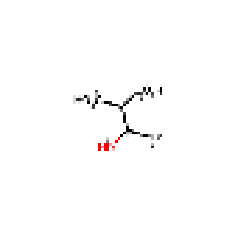 CC(C)C(O)C(C(=O)O)C(=O)O